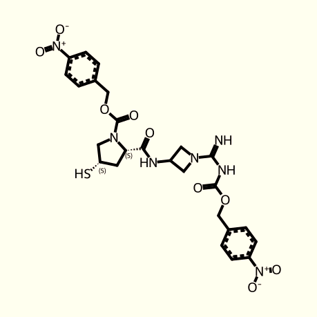 N=C(NC(=O)OCc1ccc([N+](=O)[O-])cc1)N1CC(NC(=O)[C@@H]2C[C@H](S)CN2C(=O)OCc2ccc([N+](=O)[O-])cc2)C1